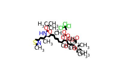 CC[Si](CC)(CC)O[C@@H](CC(=O)O)C(C)(C)C(=O)[C@H](C)[C@@H](OC(=O)OCC(Cl)(Cl)Cl)[C@@H](C)CC=C/C(C)=C\C[C@H](NC(=O)OC(C)(C)C)/C(C)=C/c1csc(C)n1